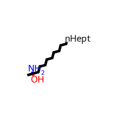 CCCCCCCCCCCCCCCCC(C)(N)O